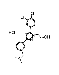 CN(C)Cc1cccc(-c2nc(-c3ccc(Cl)c(Cl)c3)n(CCO)n2)c1.Cl